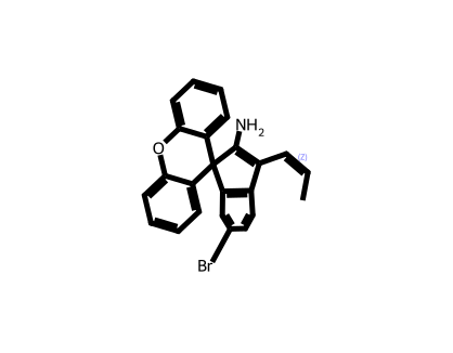 C/C=C\C1=C(N)C2(c3ccccc3Oc3ccccc32)c2cc(Br)ccc21